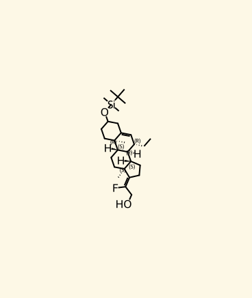 CC[C@H]1C=C2CC(O[Si](C)(C)C(C)(C)C)CC[C@]2(C)[C@H]2CC[C@]3(C)C(=C(F)CO)CC[C@H]3[C@H]12